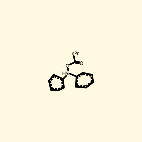 CCCC(=O)O[SiH](c1ccccc1)c1ccccc1